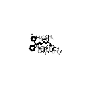 CC(C)n1c(/C=C/[C@@H]2C[C@H](CC(=O)OC(C)(C)C)OC(C)(C)O2)c(-c2ccc(F)cc2)c2ccccc21